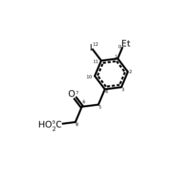 CCc1ccc(CC(=O)CC(=O)O)cc1I